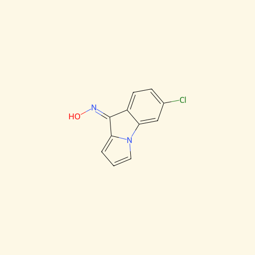 ON=C1c2ccc(Cl)cc2-n2cccc21